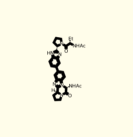 CC[C@H](NC(C)=O)C(=O)N1CCC[C@H]1c1nc2cc(-c3ccc4c(c3)nc3n4[C@H](NC(C)=O)C(=O)N4CCC[C@@H]34)ccc2[nH]1